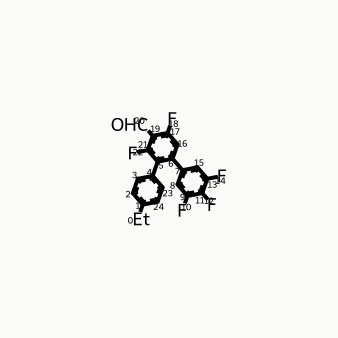 CCc1ccc(-c2c(-c3cc(F)c(F)c(F)c3)cc(F)c(C=O)c2F)cc1